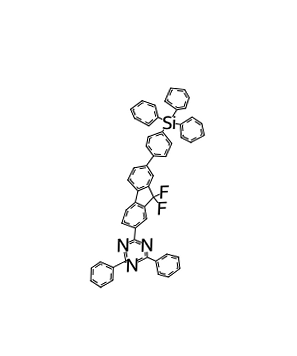 FC1(F)c2cc(-c3ccc([Si](c4ccccc4)(c4ccccc4)c4ccccc4)cc3)ccc2-c2ccc(-c3nc(-c4ccccc4)nc(-c4ccccc4)n3)cc21